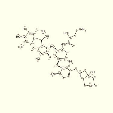 NCCN(O)C(=O)N[C@@H]1C[C@H](N)[C@@H](O[C@H]2OC(CNCC3(O)CCNCC3)=CC[C@H]2N)[C@H](O[C@@H]2O[C@H](CO)[C@@H](O[C@H]3O[C@@H](CN)[C@@H](O)[C@H](O)[C@H]3N)[C@H]2O)[C@H]1O